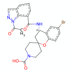 CC(=O)n1ncc2cccc(C(=O)N[C@H]3CC4(CCN(C(=O)O)CC4)Oc4ccc(Br)cc43)c21